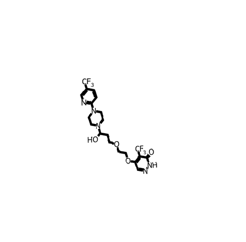 O=c1[nH]ncc(OCCOCCC(O)N2CCN(c3ccc(C(F)(F)F)cn3)CC2)c1C(F)(F)F